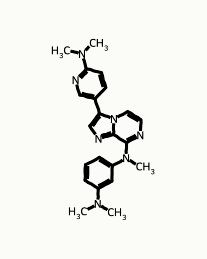 CN(C)c1cccc(N(C)c2nccn3c(-c4ccc(N(C)C)nc4)cnc23)c1